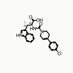 C[C@@H](c1c[nH]c2ccccc12)[C@@H](NC(=O)N1CC=C(c2ccc(Cl)cc2)CC1)C(=O)O